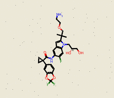 CC(C)(COCCN)c1cc2cc(NC(=O)C3(c4ccc5c(c4)OC(F)(F)O5)CC3)c(F)cc2n1C[C@@H](O)CO